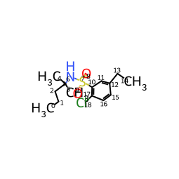 CCCC(C)(C)NS(=O)(=O)c1cc(CC)ccc1Cl